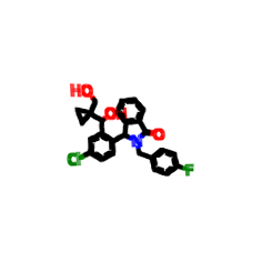 O=C1c2ccccc2C(c2ccc(Cl)cc2C(O)C2(CO)CC2)N1Cc1ccc(F)cc1